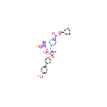 COc1ccc(-c2ccc(S(=O)(=O)NC(C(=O)NO)C3CCN(C(=O)COc4ccccc4)CC3)cc2)cc1